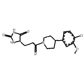 COc1cc(C2CCN(C(=O)CCC3NC(=O)NC3=O)CC2)ccc1Cl